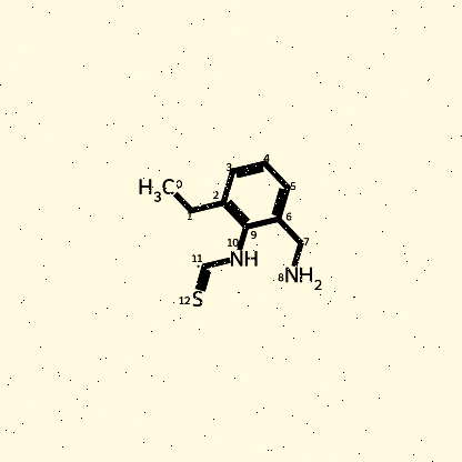 CCc1cccc(CN)c1N[C]=S